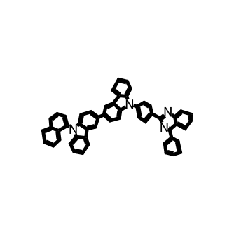 c1ccc(-c2nc(-c3ccc(-n4c5ccccc5c5cc(-c6ccc7c(c6)c6ccccc6n7-c6cccc7ccccc67)ccc54)cc3)nc3ccccc23)cc1